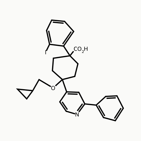 O=C(O)C1(c2ccccc2I)CCC(OCC2CC2)(c2ccnc(-c3ccccc3)c2)CC1